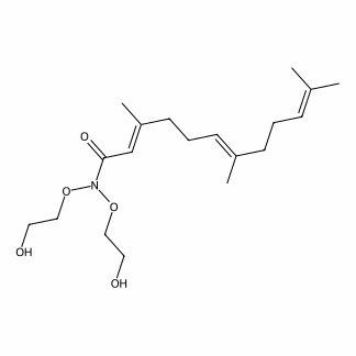 CC(C)=CCCC(C)=CCCC(C)=CC(=O)N(OCCO)OCCO